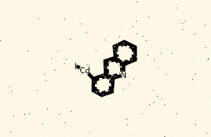 [I][Cd][c]1cccc2nc3ccccc3cc12